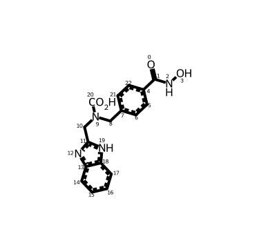 O=C(NO)c1ccc(CN(Cc2nc3ccccc3[nH]2)C(=O)O)cc1